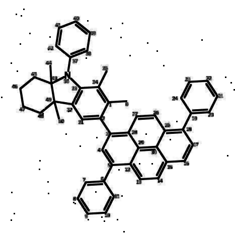 Cc1c(-c2cc(-c3ccccc3)c3ccc4ccc(-c5ccccc5)c5ccc2c3c45)cc2c(c1C)N(c1ccccc1)C1(C)CCCCC21C